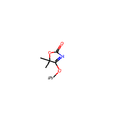 CC(C)OC1=NC(=O)OC1(C)C